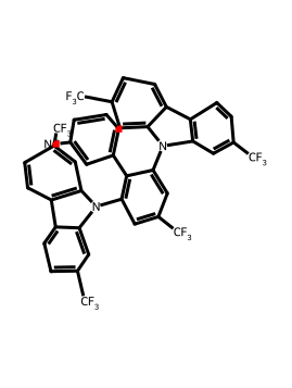 N#Cc1cccc(-c2c(-n3c4cc(C(F)(F)F)ccc4c4ccc(C(F)(F)F)cc43)cc(C(F)(F)F)cc2-n2c3cc(C(F)(F)F)ccc3c3ccc(C(F)(F)F)cc32)c1